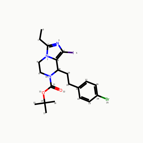 CCc1nc(I)c2n1CCN(C(=O)OC(C)(C)C)C2CCc1ccc(Br)cc1